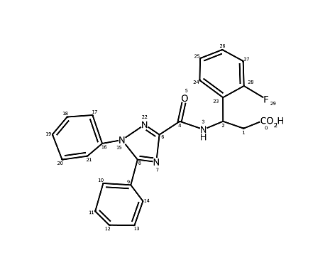 O=C(O)CC(NC(=O)c1nc(-c2ccccc2)n(-c2ccccc2)n1)c1ccccc1F